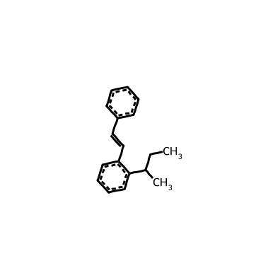 CCC(C)c1ccccc1C=Cc1ccccc1